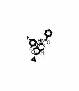 O=C(NC1=N[C@@]2(c3ccc(F)cc3F)CO[C@@H](C3CC3)C[C@H]2CS1)c1ccccc1